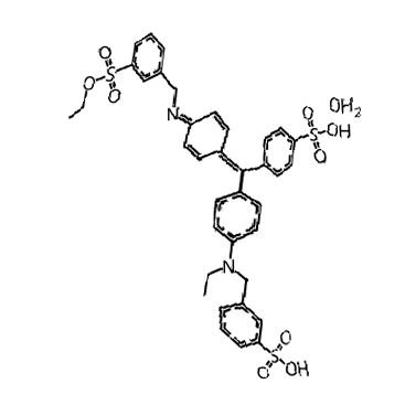 CCOS(=O)(=O)c1cccc(CN=C2C=CC(=C(c3ccc(N(CC)Cc4cccc(S(=O)(=O)O)c4)cc3)c3ccc(S(=O)(=O)O)cc3)C=C2)c1.O